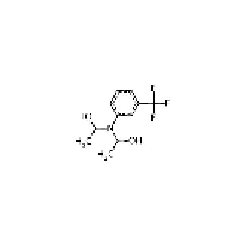 CC(O)N(c1cccc(C(F)(F)F)c1)C(C)O